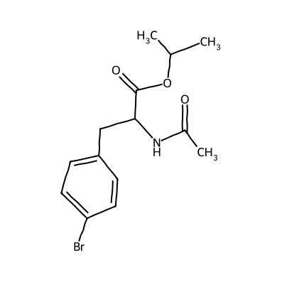 CC(=O)NC(Cc1ccc(Br)cc1)C(=O)OC(C)C